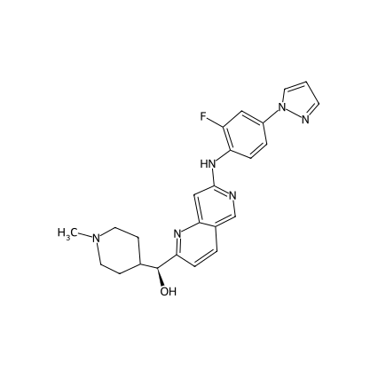 CN1CCC([C@H](O)c2ccc3cnc(Nc4ccc(-n5cccn5)cc4F)cc3n2)CC1